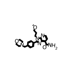 COCCCn1c(-c2ccc(CN3CCOCC3)cc2)nc2c(C(N)=O)ccnc21